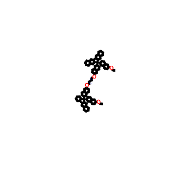 C=COc1ccc2cc(C3(c4ccc5cc(O/C=C/C=C/Oc6ccc7cc(C8(c9ccc%10cc(OC=C)ccc%10c9)c9cc%10ccccc%10cc9-c9cc%10ccccc%10cc98)ccc7c6)ccc5c4)c4ccccc4-c4cc5ccccc5cc43)ccc2c1